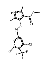 COC(=O)c1c(C)[nH]c(C)c1SNc1cc(Cl)c(C(F)(F)F)c(Cl)c1